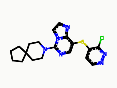 Clc1nnccc1Sc1cnc(N2CCC3(CCCC3)CC2)n2ccnc12